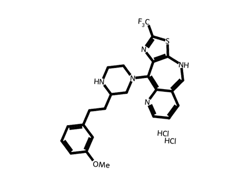 COc1cccc(CCC2CN(C3=c4ncccc4=CNc4sc(C(F)(F)F)nc43)CCN2)c1.Cl.Cl